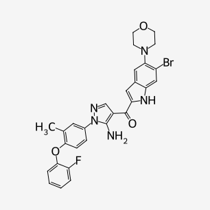 Cc1cc(-n2ncc(C(=O)c3cc4cc(N5CCOCC5)c(Br)cc4[nH]3)c2N)ccc1Oc1ccccc1F